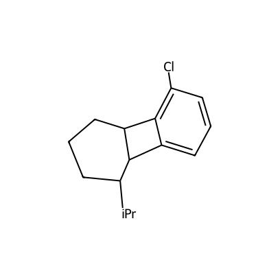 CC(C)C1CCCC2c3c(Cl)cccc3C21